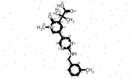 Cc1cccc(CNc2ncc(-c3cc(C(C)(C)C(=O)O)c(=O)n(C)c3)cn2)c1